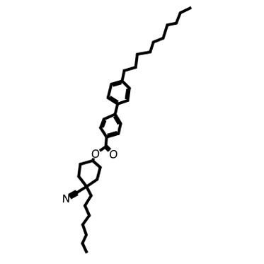 CCCCCCCCCCc1ccc(-c2ccc(C(=O)OC3CCC(C#N)(CCCCCCC)CC3)cc2)cc1